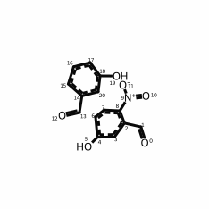 O=Cc1cc(O)ccc1[N+](=O)[O-].O=Cc1cccc(O)c1